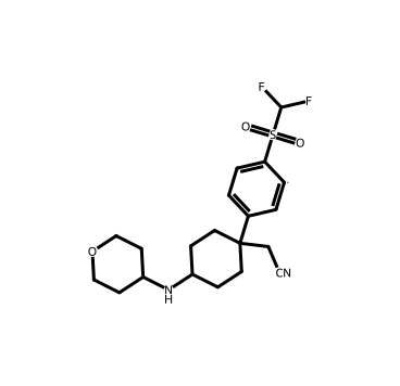 N#CCC1(c2c[c]c(S(=O)(=O)C(F)F)cc2)CCC(NC2CCOCC2)CC1